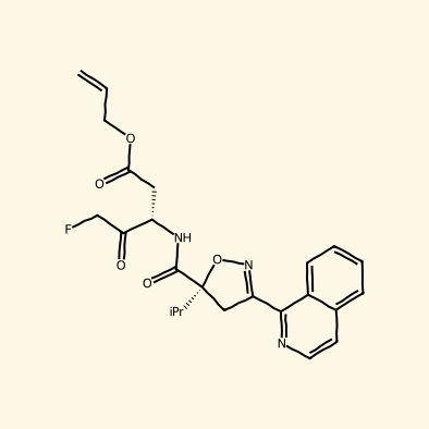 C=CCOC(=O)C[C@H](NC(=O)[C@]1(C(C)C)CC(c2nccc3ccccc23)=NO1)C(=O)CF